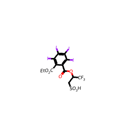 CCOC(=O)c1c(I)c(I)c(I)c(I)c1C(=O)OC(CS(=O)(=O)O)C(F)(F)F